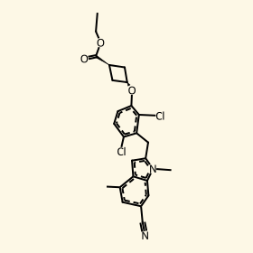 CCOC(=O)[C@H]1C[C@@H](Oc2ccc(Cl)c(Cc3cc4c(C)cc(C#N)cc4n3C)c2Cl)C1